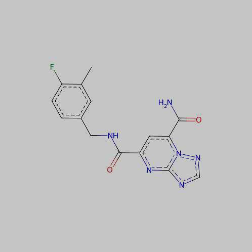 Cc1cc(CNC(=O)c2cc(C(N)=O)n3ncnc3n2)ccc1F